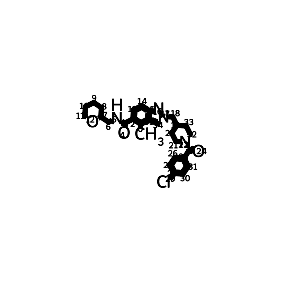 Cc1c(C(=O)NCC2CCCCO2)ccc2nn(CC3CCN(C(=O)c4ccc(Cl)cc4)CC3)cc12